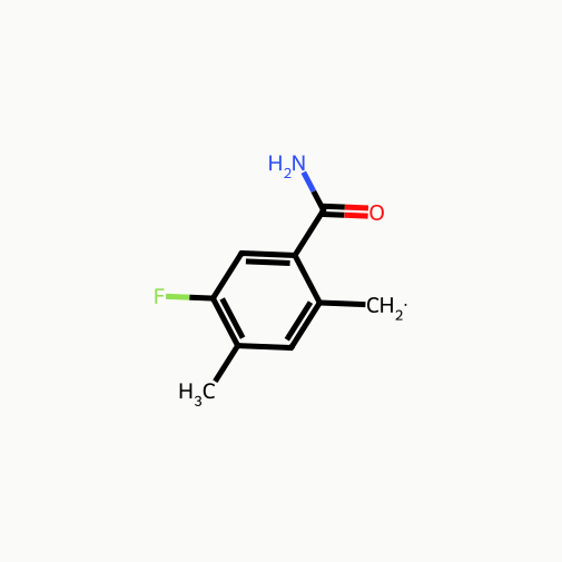 [CH2]c1cc(C)c(F)cc1C(N)=O